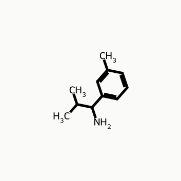 Cc1cccc(C(N)C(C)C)c1